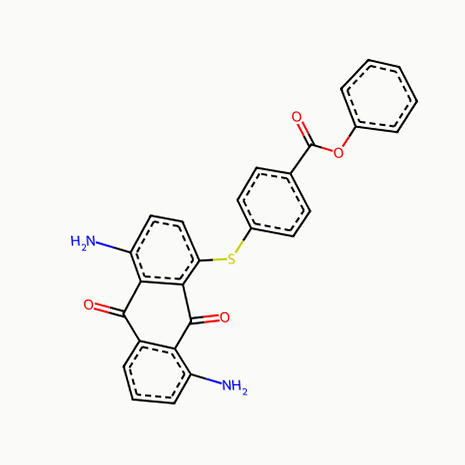 Nc1cccc2c1C(=O)c1c(Sc3ccc(C(=O)Oc4ccccc4)cc3)ccc(N)c1C2=O